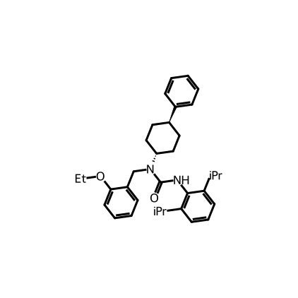 CCOc1ccccc1CN(C(=O)Nc1c(C(C)C)cccc1C(C)C)[C@H]1CC[C@H](c2ccccc2)CC1